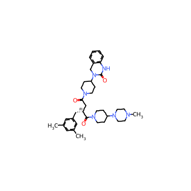 Cc1cc(C)cc(C[C@H](CC(=O)N2CCC(N3Cc4ccccc4NC3=O)CC2)C(=O)N2CCC(N3CCN(C)CC3)CC2)c1